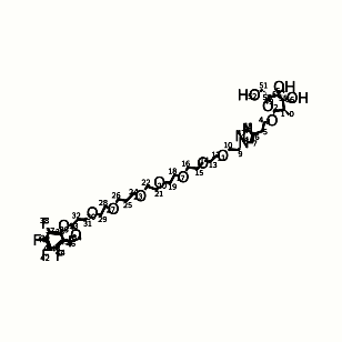 C[C@H]1[C@H](OCCc2cn(CCOCCOCCOCCOCCOCCCOCCOCCC(=O)Oc3c(F)c(F)c(F)c(F)c3F)nn2)O[C@H](CO)[C@H](O)[C@@H]1O